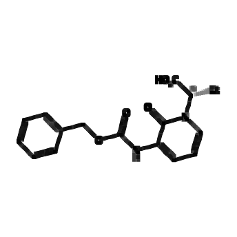 CC[C@@H](C(=O)O)n1cccc(NC(=O)OCc2ccccc2)c1=O